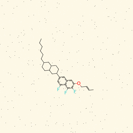 CC=CCOc1cc2cc(C3CCC4CC(CCCCCC)CCC4C3)cc(F)c2c(F)c1F